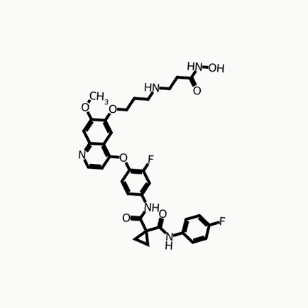 COc1cc2nccc(Oc3ccc(NC(=O)C4(C(=O)Nc5ccc(F)cc5)CC4)cc3F)c2cc1OCCCNCCC(=O)NO